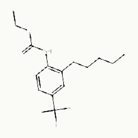 CCCCCc1cc(C(F)(F)F)ccc1NC(=O)OCC